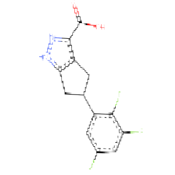 O=C(O)c1n[nH]c2c1CC(c1cc(F)cc(F)c1F)C2